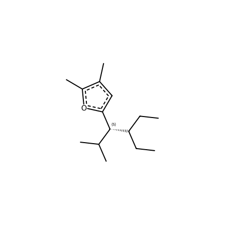 CCC(CC)[C@@H](c1cc(C)c(C)o1)C(C)C